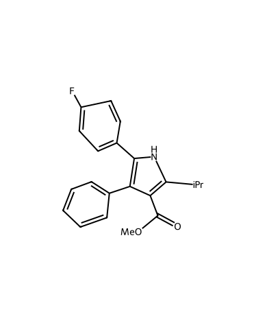 COC(=O)c1c(C(C)C)[nH]c(-c2ccc(F)cc2)c1-c1ccccc1